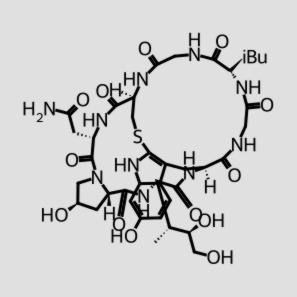 CC[C@H](C)[C@@H]1NC(=O)CNC(=O)[C@@H]2CC3=C(NC4C=C(O)C=CC34)SC[C@H](NC(=O)CNC1=O)C(=O)N[C@@H](CC(N)=O)C(=O)N1C[C@H](O)C[C@H]1C(=O)N[C@@H]([C@@H](C)[C@@H](O)CO)C(=O)N2